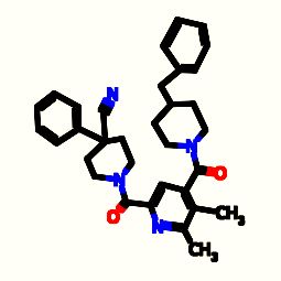 Cc1nc(C(=O)N2CCC(C#N)(c3ccccc3)CC2)cc(C(=O)N2CCC(Cc3ccccc3)CC2)c1C